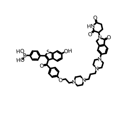 O=C1CCC(N2Cc3cc(N4CCN(CCCN5CCN(CCOc6ccc(C(=O)c7c(-c8ccc(B(O)O)cc8)sc8cc(O)ccc78)cc6)CC5)CC4)ccc3C2=O)C(=O)N1